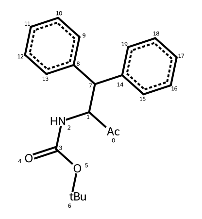 CC(=O)C(NC(=O)OC(C)(C)C)C(c1ccccc1)c1ccccc1